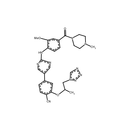 COc1cc(C(=O)N2CCN(C)CC2)ccc1Nc1ncc(-c2ccc(C#N)c(OC(C)Cn3cnnn3)c2)cn1